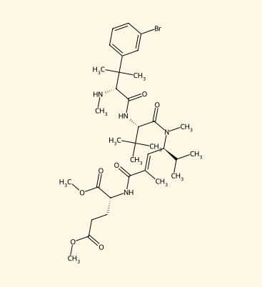 CN[C@@H](C(=O)N[C@H](C(=O)N(C)[C@H](/C=C(\C)C(=O)N[C@H](CCC(=O)OC)C(=O)OC)C(C)C)C(C)(C)C)C(C)(C)c1cccc(Br)c1